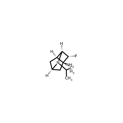 CC(C)N1[C@@H]2C[C@H]3[C@H]1[C@H](F)[C@]3(N)C2